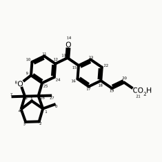 CC12CCC(C1)C1(C)Oc3ccc(C(=O)c4ccc(/C=C/C(=O)O)cc4)cc3C21C